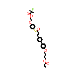 C=CC(=O)OCCCCOc1ccc(-c2ccc(/C=C/C(=O)Sc3ccc(OCCOC(=O)C(C)(C)F)cc3)cc2)cc1